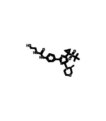 C[C@H]1COCCN1c1cc(C2(S(=O)(=O)C(C)(C)C)CC2)nc(-c2ccc(NC(=O)NCCO)cc2)n1